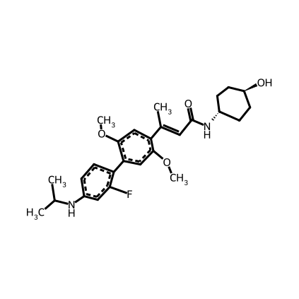 COc1cc(-c2ccc(NC(C)C)cc2F)c(OC)cc1/C(C)=C/C(=O)N[C@H]1CC[C@H](O)CC1